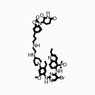 CCc1ccc2c(P(C)(C)=O)c(Nc3nc(Nc4cc(CC)c(N5CCC(NCCNCCCc6ccc7c(c6)oc(=O)n7C6CCC(=O)NC6=O)CC5)cc4OC)ncc3Br)ccc2n1